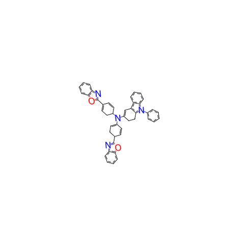 C1=CC(N(C2=CCC(c3nc4ccccc4o3)C=C2)C2=Cc3c(n(-c4ccccc4)c4ccccc34)CC2)CC=C1c1nc2ccccc2o1